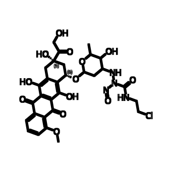 COc1cccc2c1C(=O)c1c(O)c3c(c(O)c1C2=O)C[C@@](O)(C(=O)CO)C[C@@H]3OC1CC(NN(N=O)C(=O)NCCCl)C(O)C(C)O1